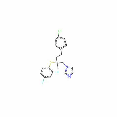 CC(CCc1ccc(Cl)cc1)(Cn1ccnc1)Sc1ccc(F)cc1F